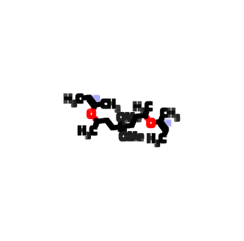 C/C=C(/C)OC(C)CC[Si](CCC(C)O/C(C)=C\C)(OC)OC